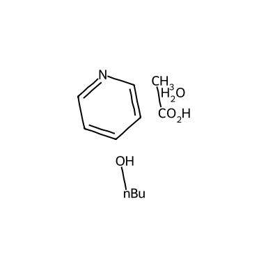 CC(=O)O.CCCCO.O.c1ccncc1